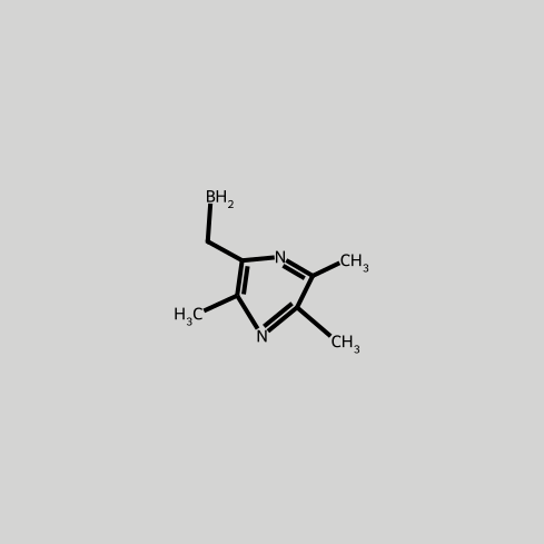 BCc1nc(C)c(C)nc1C